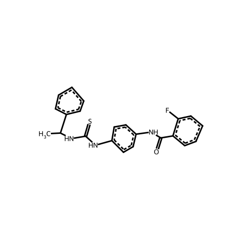 CC(NC(=S)Nc1ccc(NC(=O)c2ccccc2F)cc1)c1ccccc1